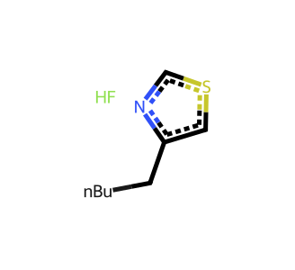 CCCCCc1cscn1.F